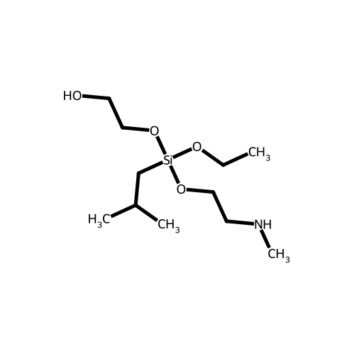 CCO[Si](CC(C)C)(OCCO)OCCNC